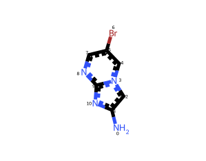 Nc1cn2cc(Br)cnc2n1